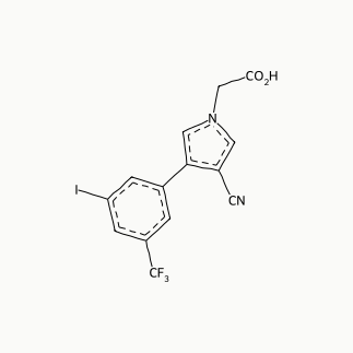 N#Cc1cn(CC(=O)O)cc1-c1cc(I)cc(C(F)(F)F)c1